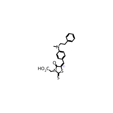 CN(CCc1ccccc1)c1ccc(/C=C2/SC(=S)N(CC(=O)O)C2=O)cc1